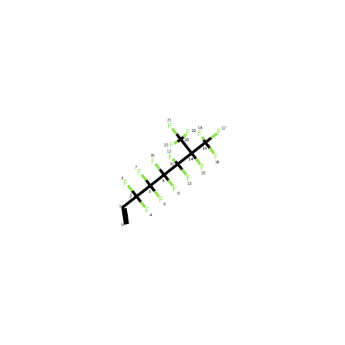 C=CC(F)(F)C(F)(F)C(F)(F)C(F)(F)C(F)(C(F)(F)F)C(F)(F)F